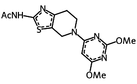 COc1cc(N2CCc3nc(NC(C)=O)sc3C2)nc(OC)n1